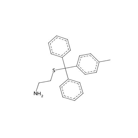 Cc1ccc(C(SCCN)(c2ccccc2)c2ccccc2)cc1